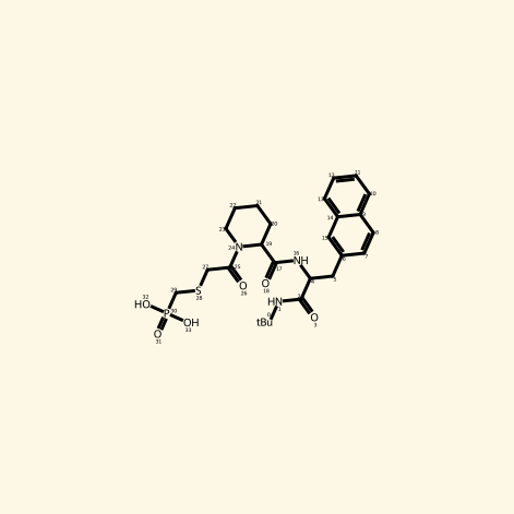 CC(C)(C)NC(=O)C(Cc1ccc2ccccc2c1)NC(=O)C1CCCCN1C(=O)CSCP(=O)(O)O